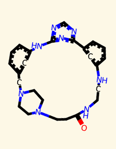 O=C1CCN2CCN(CC2)Cc2cccc(c2)Nc2ncnc(n2)-c2cccc(c2)NCCN1